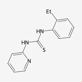 CCc1ccccc1NC(=S)Nc1ccccn1